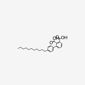 CCCCCCCCCCCc1ccc(-c2cccc(C(=O)O)c2C(=O)O)cc1